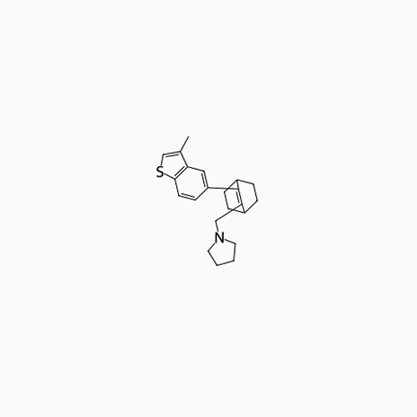 Cc1csc2ccc(C3=C(CN4CCCC4)C4CCC3CC4)cc12